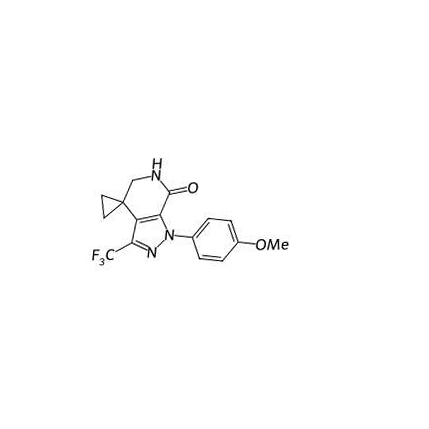 COc1ccc(-n2nc(C(F)(F)F)c3c2C(=O)NCC32CC2)cc1